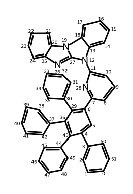 c1ccc(-c2cc(-c3cccc(-n4c5ccccc5n5c6ccccc6nc45)n3)c(-c3ccccc3)c(-c3ccccc3)c2-c2ccccc2)cc1